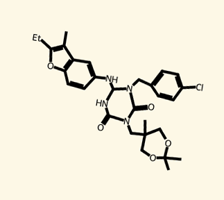 CCc1oc2ccc(NC3NC(=O)N(CC4(C)COC(C)(C)OC4)C(=O)N3Cc3ccc(Cl)cc3)cc2c1C